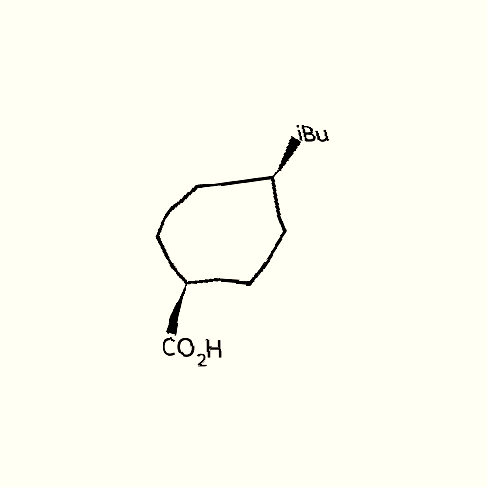 CCC(C)[C@H]1CC[C@@H](C(=O)O)CC1